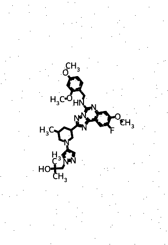 COc1ccc(CNc2nc3cc(OC)c(F)cc3c3nc(C4CC(C)CN(c5cnn(CC(C)(C)O)c5)C4)nn23)c(OC)c1